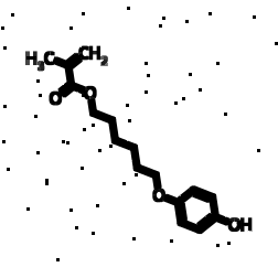 C=C(C)C(=O)OCCCCCCOc1ccc(O)cc1